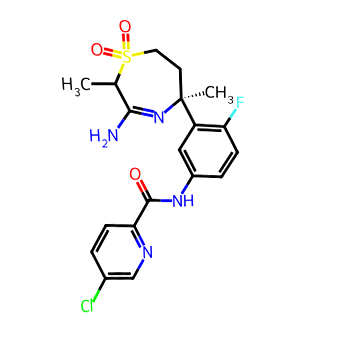 CC1C(N)=N[C@](C)(c2cc(NC(=O)c3ccc(Cl)cn3)ccc2F)CCS1(=O)=O